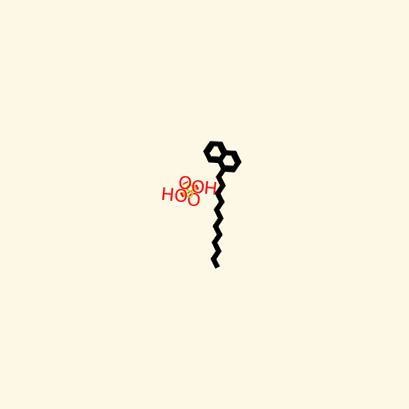 CCCCCCCCCCCCc1cccc2ccccc12.O=S(=O)(O)O